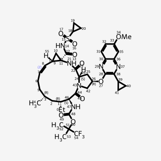 CC[C@@H]1C[C@H](C)CC/C=C\[C@@H]2C[C@@]2(C(=O)NS(=O)(=O)C2CC2)NC(=O)[C@@H]2C[C@@H](Oc3nc4ccc(OC)cc4nc3C3CC3)CN2C(=O)[C@H]1NC(=O)OC(C)(C)C(F)(F)F